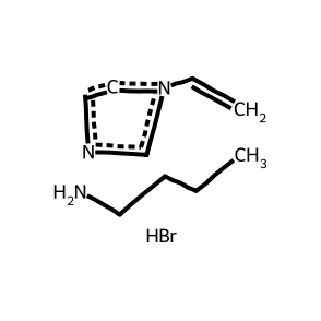 Br.C=Cn1ccnc1.CCCCN